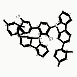 Cc1ccc(-c2ccc3c4ccccc4n(-c4ccc(-c5cc(C#N)cc(C(F)(F)F)c5)c(-n5c6ccccc6c6ccc(-c7ccc(C)cc7C)cc65)c4C#N)c3c2)c(C)c1